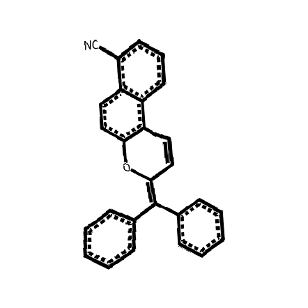 N#Cc1cccc2c3c(ccc12)OC(=C(c1ccccc1)c1ccccc1)C=C3